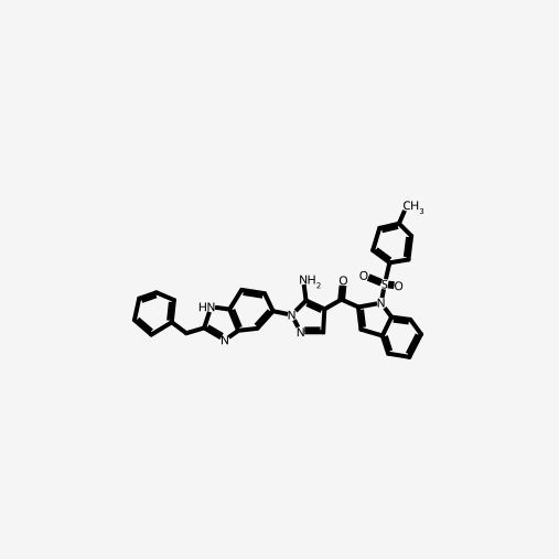 Cc1ccc(S(=O)(=O)n2c(C(=O)c3cnn(-c4ccc5[nH]c(Cc6ccccc6)nc5c4)c3N)cc3ccccc32)cc1